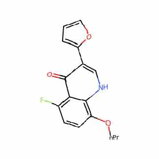 CCCOc1ccc(F)c2c(=O)c(-c3ccco3)c[nH]c12